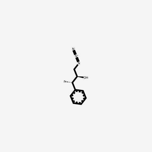 [N-]=[N+]=NC[C@@H](O)[C@@H](F)c1ccccc1